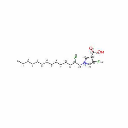 CCCCCCCCCCCCC(F)Cn1cc(F)c(C(=O)O)c1